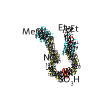 CCc1cc(CC)cc(-c2cccc(Oc3c(F)c(F)c(-c4c(F)c(F)c(Sc5ccc(Sc6ccc(Sc7ccc(S(=O)(=O)c8ccc(Sc9ccc(Sc%10ccc(Sc%11cccc(Sc%12ccc(Sc%13ccc(Sc%14c(F)c(F)c(-c%15c(F)c(F)c(OC)c(F)c%15F)c(F)c%14F)cc%13)cc%12)c%11C#N)cc%10)cc9)c(S(=O)(=O)O)c8)cc7)cc6)cc5)c(F)c4F)c(F)c3F)c2)c1